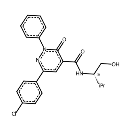 CC(C)[C@@H](CO)NC(=O)c1cc(-c2ccc(Cl)cc2)nn(-c2ccccc2)c1=O